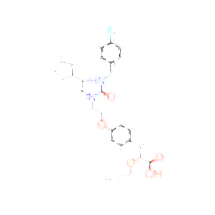 CCOC(Cc1ccc(OCCN(CCC2CCCC2)C(=O)NCc2ccc(F)cc2)cc1)C(=O)O